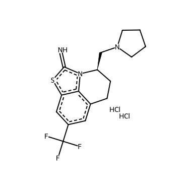 Cl.Cl.N=c1sc2cc(C(F)(F)F)cc3c2n1[C@@H](CN1CCCC1)CC3